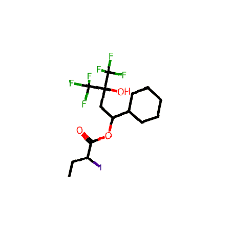 CCC(I)C(=O)OC(CC(O)(C(F)(F)F)C(F)(F)F)C1CCCCC1